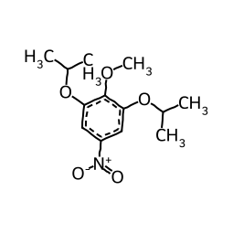 COc1c(OC(C)C)cc([N+](=O)[O-])cc1OC(C)C